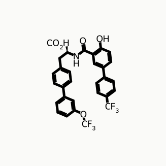 O=C(N[C@@H](Cc1ccc(-c2cccc(OC(F)(F)F)c2)cc1)C(=O)O)c1cc(-c2ccc(C(F)(F)F)cc2)ccc1O